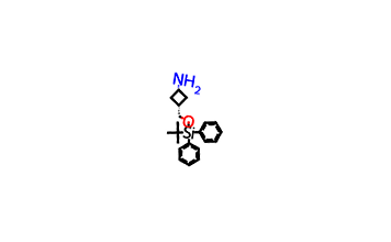 CC(C)(C)[Si](OC[C@H]1C[C@@H](N)C1)(c1ccccc1)c1ccccc1